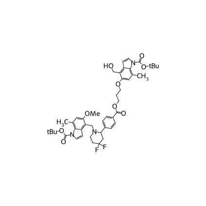 COc1cc(C)c2c(ccn2C(=O)OC(C)(C)C)c1CN1CCC(F)(F)CC1c1ccc(C(=O)OCCCOc2cc(C)c3c(ccn3C(=O)OC(C)(C)C)c2CO)cc1